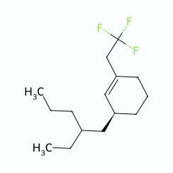 CCCC(CC)C[C@H]1C=C(CC(F)(F)F)CCC1